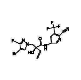 C=C[C@](O)(Cn1cc(Br)c(F)n1)C(=O)Nc1cnc(C#N)c(C(F)(F)F)c1